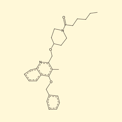 CCCCCC(=O)N1CCC(OCc2nc3ccccc3c(OCc3ccccc3)c2C)CC1